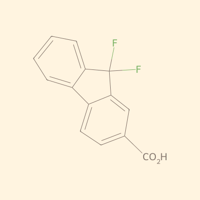 O=C(O)c1ccc2c(c1)C(F)(F)c1ccccc1-2